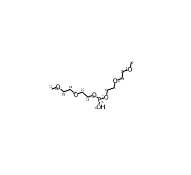 COCCOCCOP(O)OCCOCCOC